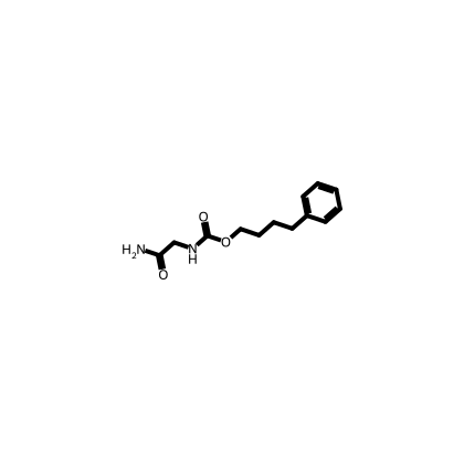 NC(=O)CNC(=O)OCCCCc1ccccc1